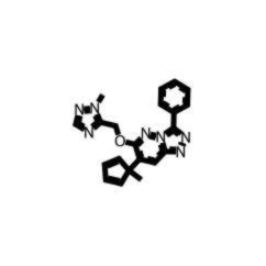 Cn1ncnc1COc1nn2c(-c3ccccc3)nnc2cc1C1(C)C=CC=C1